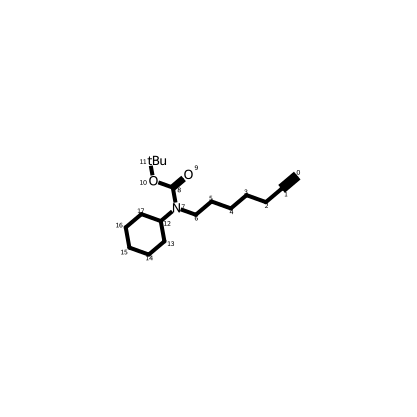 C#CCCCCCN(C(=O)OC(C)(C)C)C1CCCCC1